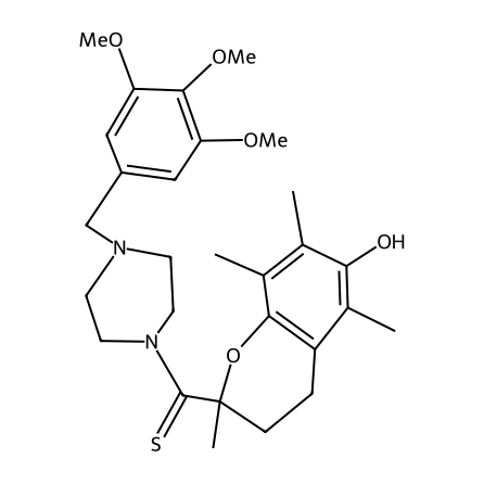 COc1cc(CN2CCN(C(=S)C3(C)CCc4c(C)c(O)c(C)c(C)c4O3)CC2)cc(OC)c1OC